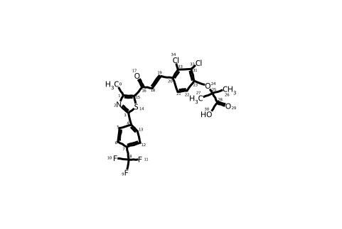 Cc1nc(-c2ccc(C(F)(F)F)cc2)sc1C(=O)C=Cc1ccc(OC(C)(C)C(=O)O)c(Cl)c1Cl